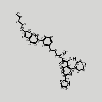 Nc1c([S+]([O-])CCCc2cccc(-c3ccc4cc(SCCCI)sc4n3)c2)sc2nc(-c3nccs3)nc(N3CCOCC3)c12